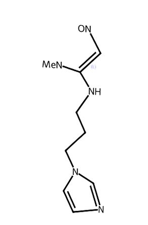 CN/C(=C\N=O)NCCCn1ccnc1